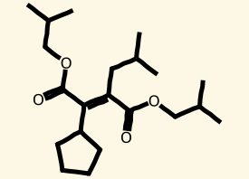 CC(C)COC(=O)C(CC(C)C)=C(C(=O)OCC(C)C)C1CCCC1